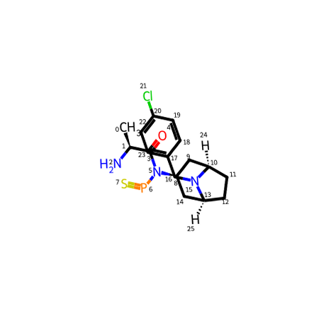 C[C@H](N)C(=O)N(P=S)[C@H]1C[C@H]2CC[C@@H](C1)N2Cc1ccc(Cl)cc1